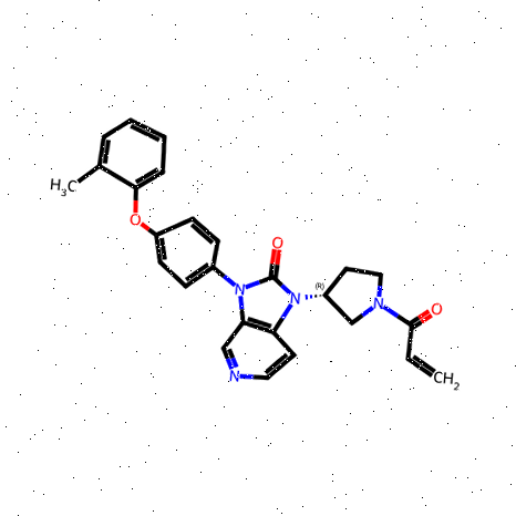 C=CC(=O)N1CC[C@@H](n2c(=O)n(-c3ccc(Oc4ccccc4C)cc3)c3cnccc32)C1